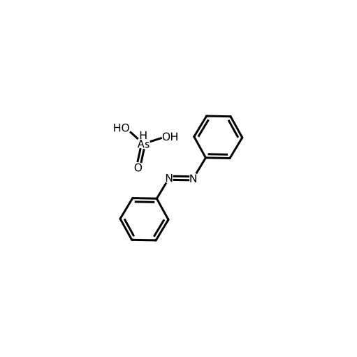 O=[AsH](O)O.c1ccc(N=Nc2ccccc2)cc1